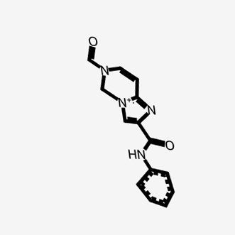 O=CN1C=CC2=NC(C(=O)Nc3ccccc3)=C[N+]2C1